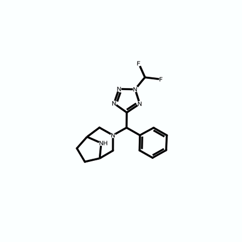 FC(F)n1nnc(C(c2ccccc2)N2CC3CCC(C2)N3)n1